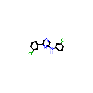 Clc1cccc(Nc2cncc(-c3cccc(Cl)c3)n2)c1